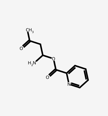 CC(=O)CC(N)OC(=O)c1ccccn1